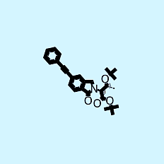 C[C@@H](OC(C)(C)C)[C@@H](C(=O)OC(C)(C)C)N1Cc2cc(C#Cc3ccccc3)ccc2C1=O